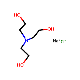 OCCN(CCO)CCO.[Cl-].[Na+]